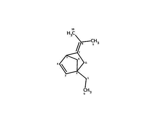 CCC12C=CC(C1)C(=C(C)C)C2